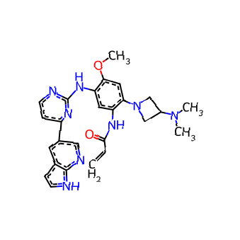 C=CC(=O)Nc1cc(Nc2nccc(-c3cnc4[nH]ccc4c3)n2)c(OC)cc1N1CC(N(C)C)C1